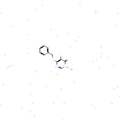 CS(=O)(=O)n1cnc(OCc2ccccc2)c(Br)c1=O